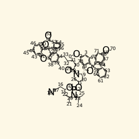 COc1ccc(C(OC[C@@H]2C[C@@H](OP(OCCC#N)N(C(C)C)C(C)C)CN2C(=O)CCCCc2cc3c(cc2C)Oc2cc(C)ccc2C32OC(=O)c3ccccc32)(c2ccccc2)c2ccc(OC)cc2)cc1